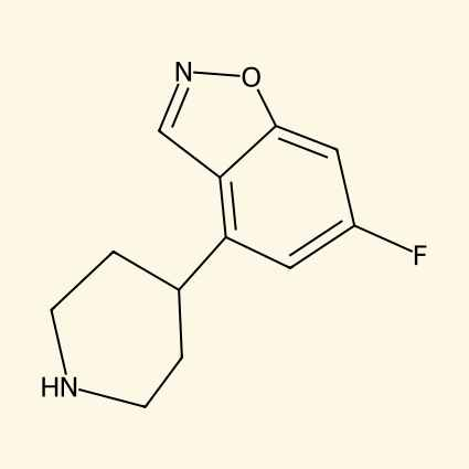 Fc1cc(C2CCNCC2)c2cnoc2c1